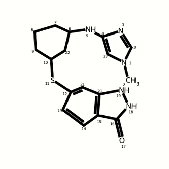 Cn1cnc(NC2CCCC(Sc3ccc4c(=O)[nH][nH]c4c3)C2)c1